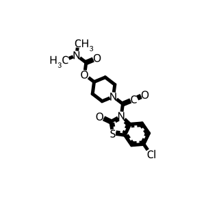 CN(C)C(=O)OC1CCN(C(=C=O)n2c(=O)sc3cc(Cl)ccc32)CC1